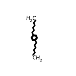 C=CCCCCCc1ccc(CCCCCC=C)cc1